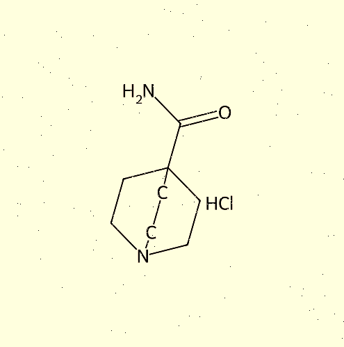 Cl.NC(=O)C12CCN(CC1)CC2